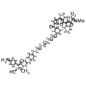 C#CC1=C(C)C(CCCc2ccc(CCCOCCOCCOCOc3cccc(C(=O)c4csc([C@@H]5CCCN5C(=O)[C@@H](NC(=O)C(C)NC)C5CCCCC5)n4)c3)cc2)C(C)=C1c1ccc(N)cc1